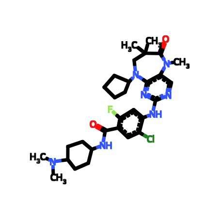 CN1C(=O)C(C)(C)CN(C2CCCC2)c2nc(Nc3cc(F)c(C(=O)NC4CCC(N(C)C)CC4)cc3Cl)ncc21